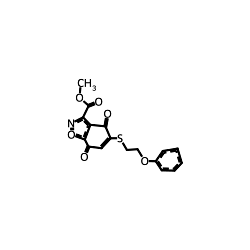 COC(=O)c1noc2c1C(=O)C(SCCOc1ccccc1)=CC2=O